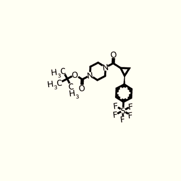 CC(C)(C)OC(=O)N1CCN(C(=O)C2C[C@H]2c2ccc(S(F)(F)(F)(F)F)cc2)CC1